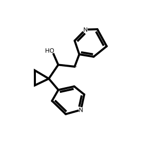 OC([CH]c1cccnc1)C1(c2ccncc2)CC1